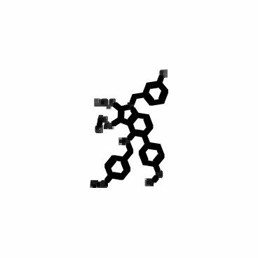 CC(=O)Cl.CCOC(=O)c1c(C(C)=O)c2c(NCc3ccc(OC)cc3)c(-c3ccc(OC(C)C)cc3)ccc2n1Cc1cccc(Cl)c1